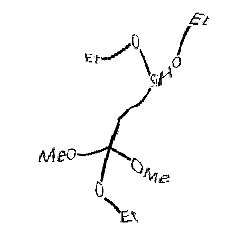 CCO[SiH](CCC(OC)(OC)OCC)OCC